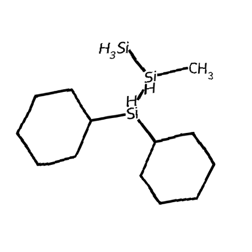 C[SiH]([SiH3])[SiH](C1CCCCC1)C1CCCCC1